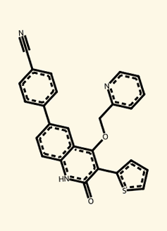 N#Cc1ccc(-c2ccc3[nH]c(=O)c(-c4cccs4)c(OCc4ccccn4)c3c2)cc1